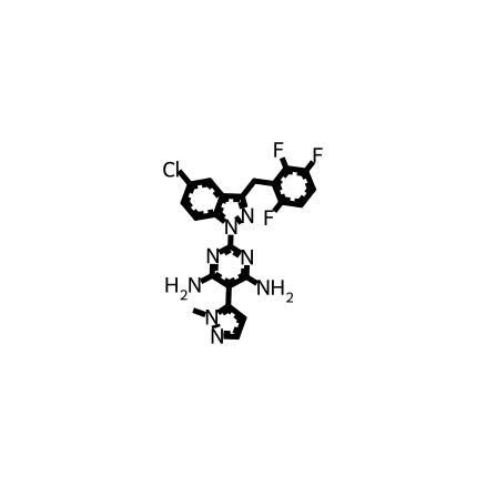 Cn1nccc1-c1c(N)nc(-n2nc(Cc3c(F)ccc(F)c3F)c3cc(Cl)ccc32)nc1N